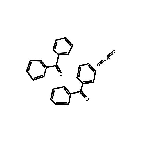 O=C(c1ccccc1)c1ccccc1.O=C(c1ccccc1)c1ccccc1.[O]=[U+2]=[O]